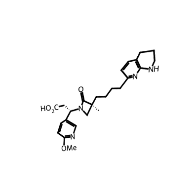 COc1ccc([C@H](CC(=O)O)N2C[C@](C)(CCCCc3ccc4c(n3)NCCC4)C2=O)cn1